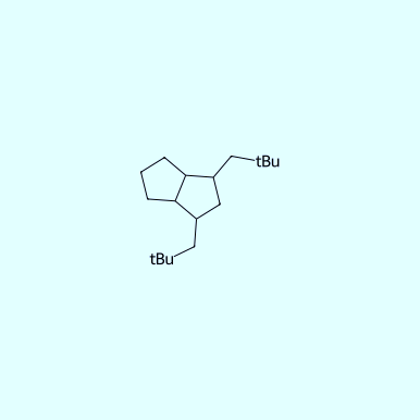 CC(C)(C)CC1CC(CC(C)(C)C)C2CCCC12